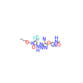 CCCCOCCn1cc(C(F)(F)F)cc(Nc2nc3ncc(Oc4ccnc(NC(C)=O)c4)c(C#N)c3n2C)c1=O